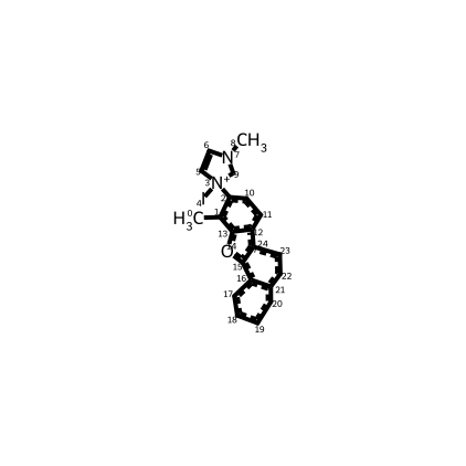 Cc1c([N+]2(I)C=CN(C)C2)ccc2c1oc1c3ccccc3ccc21